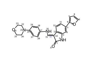 O=C1Nc2cc(-c3ccco3)ccc2/C1=C\Nc1ccc(N2CCOCC2)cc1